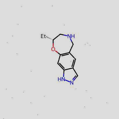 CC[C@@H]1CNCc2cc3cn[nH]c3cc2O1